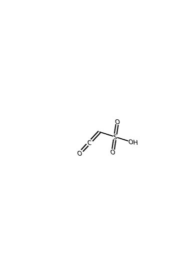 O=C=CS(=O)(=O)O